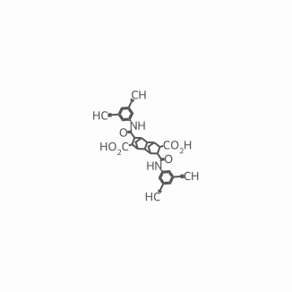 C#Cc1cc(C#C)cc(NC(=O)C2C3CC(C2C(=O)O)C2C4CC(C(C(=O)O)C4C(=O)Nc4cc(C#C)cc(C#C)c4)C32)c1